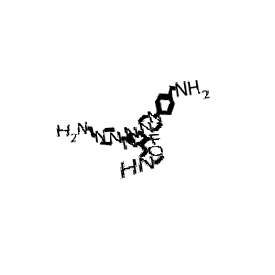 NCCN1CCN(c2nc(C3CNCCO3)c(F)c(N3CCN(c4ccc(CN)cc4)CC3)n2)CC1